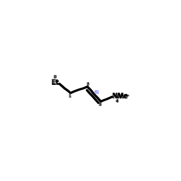 CCC/C=C/[N]C